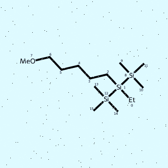 CC[Si](CCCCCOC)([Si](C)(C)C)[Si](C)(C)C